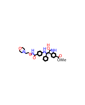 COC(=O)c1ccc2c(c1)NC(O)/C2=C(\Nc1ccc(C(=O)NOCCN2CCOCC2)cc1)c1ccccc1